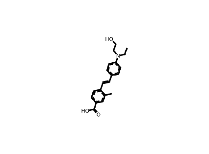 CCN(CCO)c1ccc(C=Cc2ccc(C(=O)O)cc2C)cc1